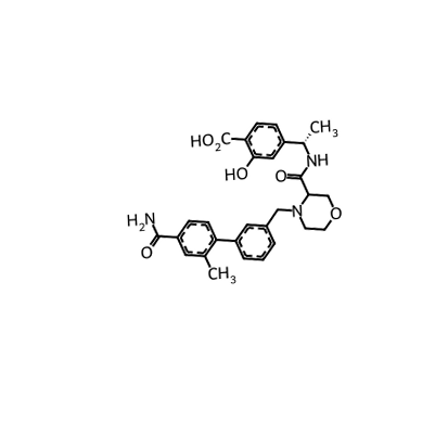 Cc1cc(C(N)=O)ccc1-c1cccc(CN2CCOCC2C(=O)N[C@@H](C)c2ccc(C(=O)O)c(O)c2)c1